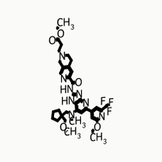 CCOC(=O)CCN1CCc2cc(C(=O)Nc3nc4nc(-c5cc(OCC)nc(C(F)(F)F)c5)cc(N(C)CC5(COC)CCCC5)c4[nH]3)ncc2C1